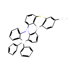 CC(C)(C)c1ccc2c(c1)Sc1cccc3c1B2c1cccc2c1N3c1ccccc1[Si]2(c1ccccc1)c1ccccc1